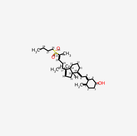 C=C1CC[C@H](O)C/C1=C/C=C1\CCC[C@]2(C)C([C@H](C)C/C=C(\C)S(=O)(=O)CCCC)=CC[C@@H]12